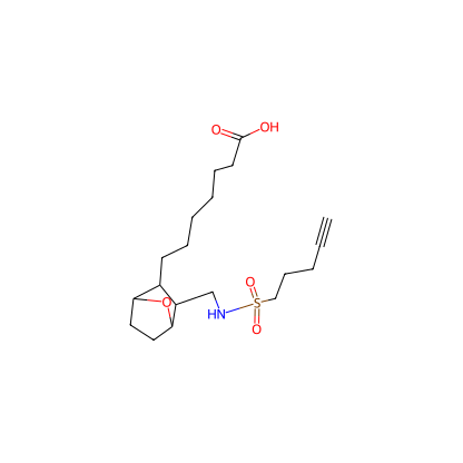 C#CCCCS(=O)(=O)NCC1C2CCC(O2)C1CCCCCCC(=O)O